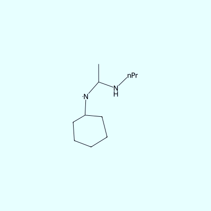 CCCNC(C)[N]C1CCCCC1